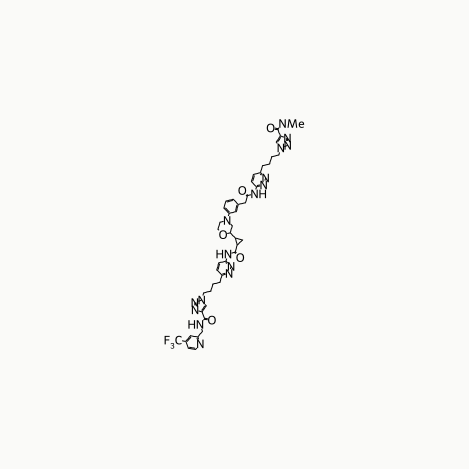 CNC(=O)c1cn(CCCCc2ccc(NC(=O)Cc3cccc(N4CCOC(C5CC5C(=O)Nc5ccc(CCCCn6cc(C(=O)NCc7cc(C(F)(F)F)ccn7)nn6)nn5)C4)c3)nn2)nn1